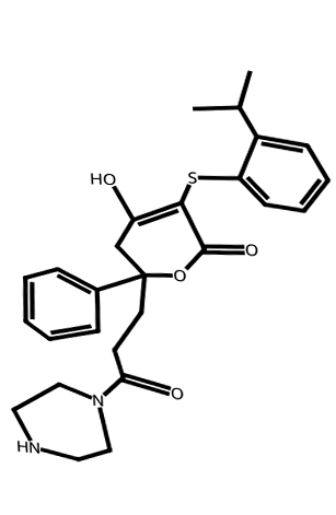 CC(C)c1ccccc1SC1=C(O)CC(CCC(=O)N2CCNCC2)(c2ccccc2)OC1=O